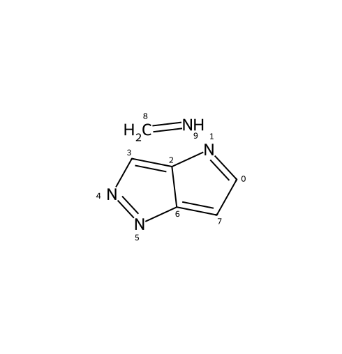 C1=NC2=CN=NC2=C1.C=N